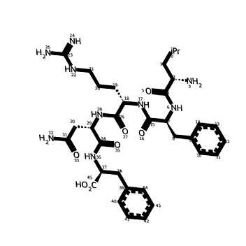 CC(C)C[C@H](N)C(=O)N[C@@H](Cc1ccccc1)C(=O)N[C@@H](CCCNC(=N)N)C(=O)N[C@@H](CC(N)=O)C(=O)N[C@@H](Cc1ccccc1)C(=O)O